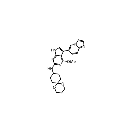 COc1nc(NC2CCC3(CC2)OCCCO3)nc2[nH]cc(-c3ccc4nccn4c3)c12